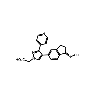 O=C(O)Cn1cc(-c2ccc3c(c2)CC/C3=N\O)c(-c2ccncc2)n1